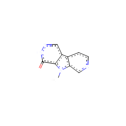 Cn1c2cnccc2c2cn[nH]c(=O)c21